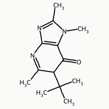 CC1=Nc2nc(C)n(C)c2C(=O)C1C(C)(C)C